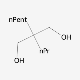 CCCCCC(CO)(CO)CCC